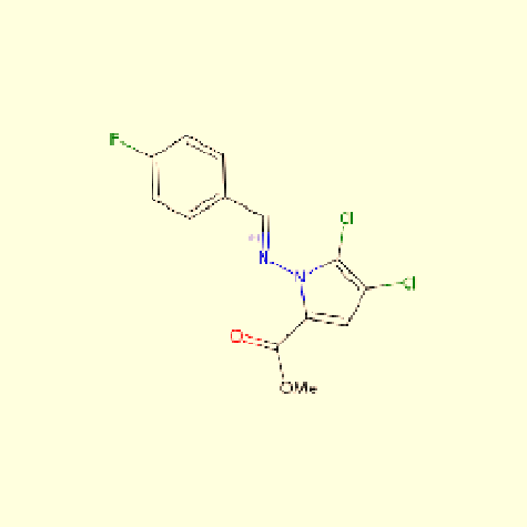 COC(=O)c1cc(Cl)c(Cl)n1/N=C/c1ccc(F)cc1